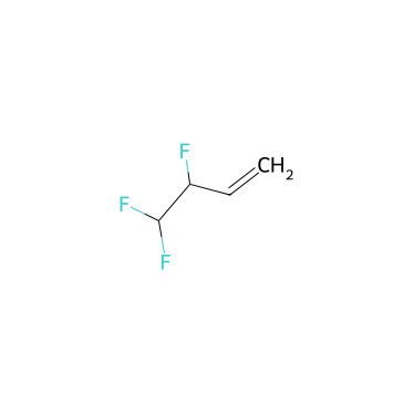 C=CC(F)C(F)F